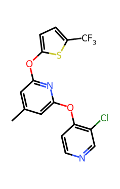 Cc1cc(Oc2ccc(C(F)(F)F)s2)nc(Oc2ccncc2Cl)c1